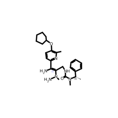 Cc1nc(/C(N)=C(\CNC(=O)N(C)[C@@H](C)c2ccccc2)N(C)N)ccc1OC1CCCCC1